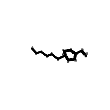 CCCCCCc1ccc(C=S)cc1